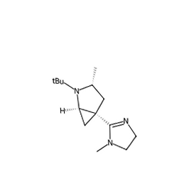 C[C@@H]1C[C@@]2(C3=NCCN3C)C[C@H]2N1C(C)(C)C